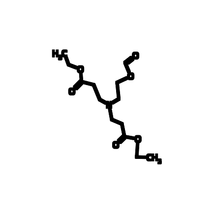 CCOC(=O)CCN(CCOC=O)CCC(=O)OCC